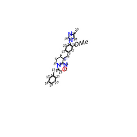 COc1cc(/C=C2\CCCN3C2=NOC[C@@H]3Cc2ccccc2)ccc1-n1cnc(C)c1